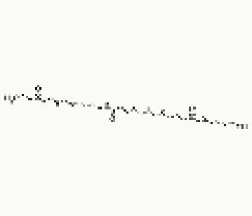 CCC[S+]([O-])CCSCSCSCCSC(=O)CCSCSCSCCC[S+]([O-])CSCSCCO